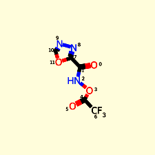 O=C(NOC(=O)C(F)(F)F)c1nnco1